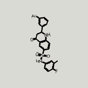 CC(=O)c1cccc(C2CC(=O)c3cc(S(=O)(=O)Nc4ccc(F)c(C)c4)ccc3N2)c1